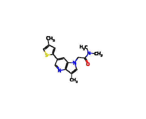 Cc1csc(-c2cnc3c(C)cn(CC(=O)N(C)C)c3c2)c1